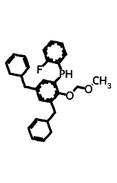 COCOc1c(CC2C=CC=CC2)cc(CC2C=CC=CC2)cc1Pc1ccccc1F